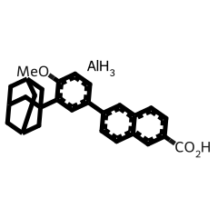 COc1ccc(-c2ccc3cc(C(=O)O)ccc3c2)cc1C12CC3CC(CC(C3)C1)C2.[AlH3]